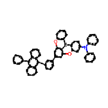 c1ccc(-c2c3ccccc3c(-c3cccc(-c4cc5c6c(c4)Oc4cc(N(c7ccccc7)c7ccccc7)ccc4B6c4ccccc4O5)c3)c3ccccc23)cc1